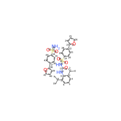 CC(C)c1cccc(C(C)C)c1NC(=O)NS(=O)(=O)c1ccc(-c2ccco2)cc1.NS(=O)(=O)c1ccc(-c2ccco2)cc1